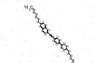 CCCCCCCc1ccc2cc(C#Cc3ccc(C4CCC(CCCCCCC)CC4)cc3)ccc2c1